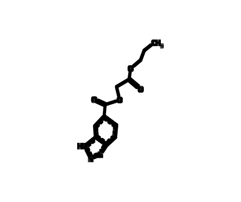 CCCOC(=O)COC(=O)c1ccc2nn[nH]c2c1